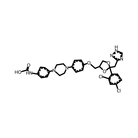 O=C(O)Nc1ccc(N2CCN(c3ccc(OCC4COC(Cc5nc[nH]n5)(c5ccc(Cl)cc5Cl)O4)cc3)CC2)cc1